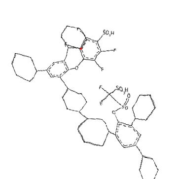 O=S(=O)(O)c1c(F)c(F)c(Oc2c(C3CCCCC3)cc(C3CCCCC3)cc2C2CCC(C3CCCC(c4cc(C5CCCCC5)cc(C5CCCCC5)c4OS(=O)(=O)C(F)(F)S(=O)(=O)O)C3)CC2)c(F)c1F